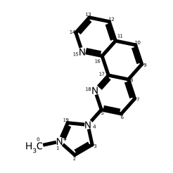 C[n+]1ccn(-c2ccc3ccc4cccnc4c3n2)c1